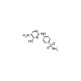 Nc1cnc(Nc2ccc(S(N)(=O)=O)cc2)nc1O